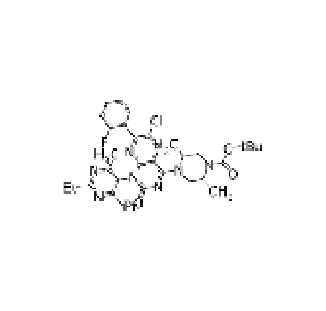 CCc1nc(C)c(-n2c(=O)nc(N3C[C@@H](C)N(C(=O)OC(C)(C)C)C[C@@H]3C)c3cc(Cl)c(-c4ccccc4F)nc32)c(C(C)C)n1